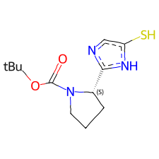 CC(C)(C)OC(=O)N1CCC[C@H]1c1ncc(S)[nH]1